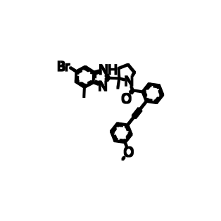 COc1cccc(C#Cc2ccccc2C(=O)N2CCCC2(C)c2nc3c(C)cc(Br)cc3[nH]2)c1